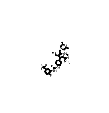 COCc1c(-c2ccc(NC(=O)Nc3cc(C(F)(F)F)ccc3F)cc2)c2c(N)ncnn2c1CN1CC(C)OC(C)C1